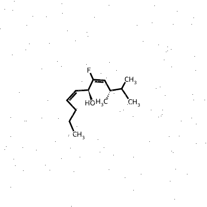 CCC/C=C\[C@H](O)/C(F)=C\[C@@H](C)C(C)C